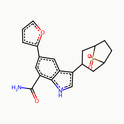 NC(=O)c1cc(-c2ccco2)cc2c(C3CC4CCC(C3)S4(=O)=O)c[nH]c12